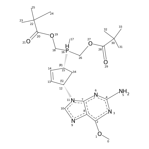 COc1nc(N)nc2c1ncn2[C@@H]1C=C[C@H]([PH](C)(COC(=O)C(C)(C)C)COC(=O)C(C)(C)C)C1